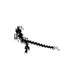 CCCCCCCCCCCCCCCCCCCC[C@H](COP(=O)(O)OC[C@@]1(C)OCC(O)(c2ccc3c(N)ncnn23)[C@@H]1O)OCc1ccc(C#N)nc1